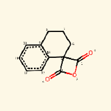 O=C1OC(=O)C12CCCc1ccccc12